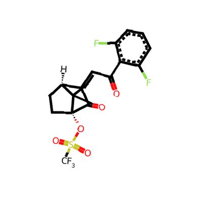 CC1(C)[C@H]2CC[C@]1(OS(=O)(=O)C(F)(F)F)C(=O)C2=CC(=O)c1c(F)cccc1F